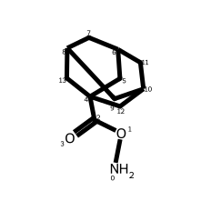 NOC(=O)C12CC3CC(CC(C3)C1)C2